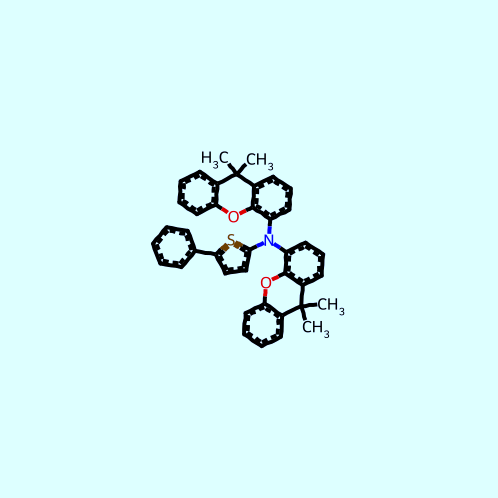 CC1(C)c2ccccc2Oc2c(N(c3ccc(-c4ccccc4)s3)c3cccc4c3Oc3ccccc3C4(C)C)cccc21